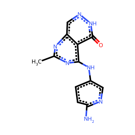 Cc1nc(Nc2ccc(N)nc2)c2c(=O)[nH]ncc2n1